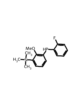 COc1c(Pc2ccccc2F)cccc1[Si](C)(C)C